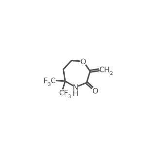 C=C1OCCC(C(F)(F)F)(C(F)(F)F)NC1=O